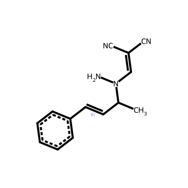 CC(/C=C/c1ccccc1)N(N)C=C(C#N)C#N